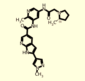 Cc1ncc(NC(=O)CN2CCC[C@@H]2C)cc1NC(=O)c1cnc2[nH]c(-c3cnn(C)c3)cc2c1